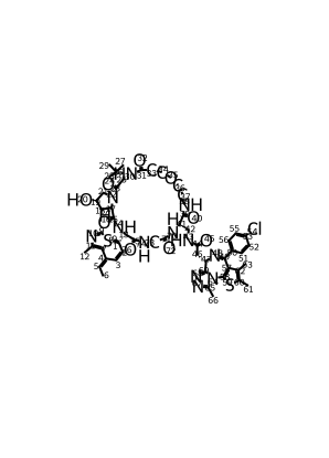 C=C(/C=C\C(=C/C)c1scnc1C)[C@@H]1NC(=O)[C@@H]2C[C@@H](O)CN2C(=O)[C@H](C(C)(C)C)NC(=O)CCOCCNC(=O)[C@@H](CNC(=O)C[C@@H]2N=C(c3ccc(Cl)cc3)c3c(sc(C)c3C)-n3c(C)nnc32)NC(=O)CNC1=O